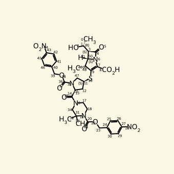 C[C@@H](O)[C@H]1C(=O)N2C(C(=O)O)=C(S[C@H]3C[C@@H](C(=O)N4CCN(C(=O)OCc5ccc([N+](=O)[O-])cc5)C(C)(C)C4)N(C(=O)OCc4ccc([N+](=O)[O-])cc4)C3)[C@H](C)[C@H]12